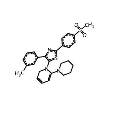 Cc1cccc(-c2nc(-c3ccc(S(C)(=O)=O)cc3)sc2N2CC=CC=C2N2CCCCC2)c1